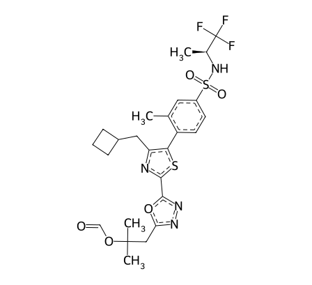 Cc1cc(S(=O)(=O)N[C@@H](C)C(F)(F)F)ccc1-c1sc(-c2nnc(CC(C)(C)OC=O)o2)nc1CC1CCC1